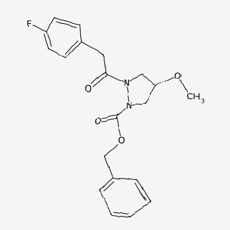 COC1CN(C(=O)Cc2ccc(F)cc2)N(C(=O)OCc2ccccc2)C1